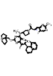 Cc1ncc(F)c(/C=C/C(=O)N2CCC(N(C)c3nc(OCC45CCCN4CCC5)nc4c(F)c(-c5cccc6cccc(Cl)c56)ncc34)C2)n1